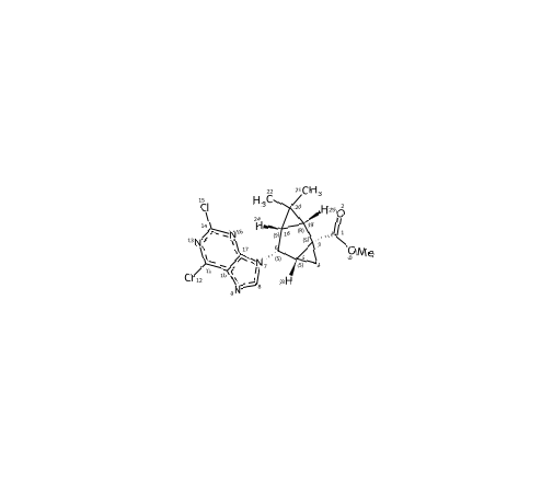 COC(=O)[C@]12C[C@@H]1[C@H](n1cnc3c(Cl)nc(Cl)nc31)[C@H]1[C@@H]2C1(C)C